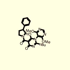 CCCCc1nc(=O)c(C(=O)N2CCC(c3ccccc3)C2)c(O)n1-c1c(OC)ncnc1OC